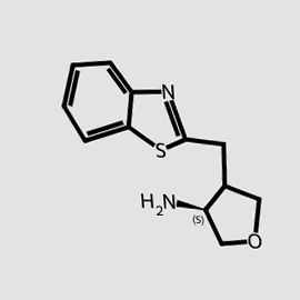 N[C@@H]1COCC1Cc1nc2ccccc2s1